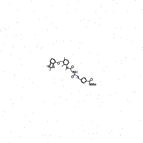 CNC(=O)c1ccc(/C=C/C(=O)NCC(=O)N(C)c2ccc(C)c(COc3cccc4c3nc(C)n4C)c2C)cc1